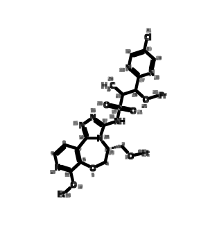 CCOC[C@@H]1COc2c(ccnc2OCC)-c2nnc(NS(=O)(=O)C(C)C(OC(C)C)c3ncc(Cl)cn3)n21